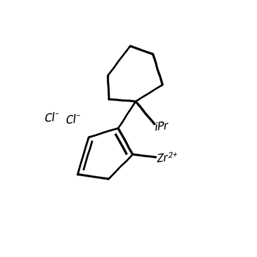 CC(C)C1(C2=[C]([Zr+2])CC=C2)CCCCC1.[Cl-].[Cl-]